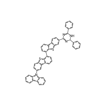 c1ccc(C2=NC(c3ccc4c(c3)sc3c(-c5cccc6c5sc5ccc(-n7c8ccccc8c8ccccc87)cc56)cccc34)=NC(c3ccccc3)N2)cc1